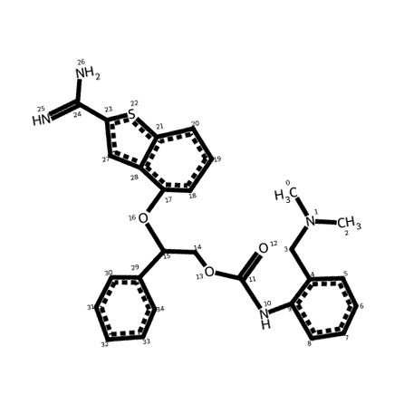 CN(C)Cc1ccccc1NC(=O)OCC(Oc1cccc2sc(C(=N)N)cc12)c1ccccc1